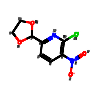 O=[N+]([O-])c1ccc(C2OCCO2)nc1Cl